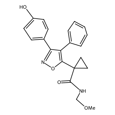 COCNC(=O)C1(c2onc(-c3ccc(O)cc3)c2-c2ccccc2)CC1